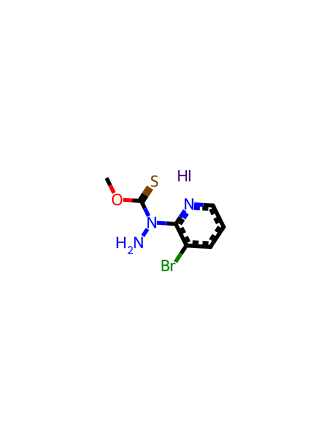 COC(=S)N(N)c1ncccc1Br.I